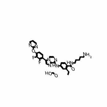 CCc1cc(Nc2nccn3c(-c4ccc(Oc5ncccn5)c(F)c4F)cnc23)ccc1C(=O)NCCCCCN.O=CO